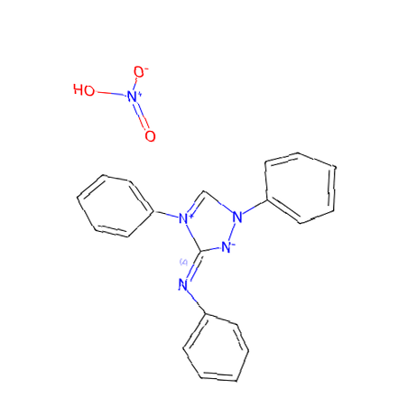 O=[N+]([O-])O.c1ccc(/N=c2\[n-]n(-c3ccccc3)c[n+]2-c2ccccc2)cc1